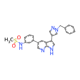 CS(=O)(=O)Nc1cccc(-c2cnc3[nH]cc(-c4cnn(Cc5ccccc5)c4)c3c2)c1